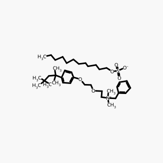 CC(C)(C)CC(C)(C)c1ccc(OCCOCC[N+](C)(C)Cc2ccccc2)cc1.CCCCCCCCCCCCOS(=O)(=O)[O-]